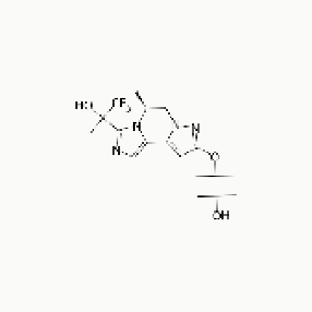 C[C@H]1Cn2nc(OC(C)(C)C(C)(C)O)cc2-c2cnc(C(C)(O)C(F)(F)F)n21